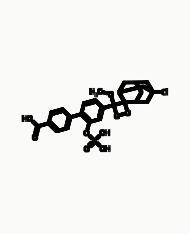 COC1(c2ccc(-c3ccc(C(=O)O)cc3)c(OP(=O)(O)O)c2)OOC12C1CC3CC2CC(Cl)(C3)C1